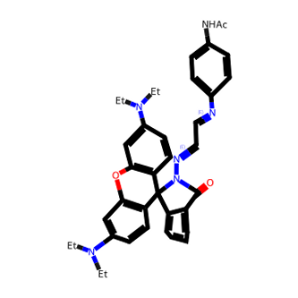 CCN(CC)c1ccc2c(c1)Oc1cc(N(CC)CC)ccc1C21c2ccccc2C(=O)N1/N=C/C=N/c1ccc(NC(C)=O)cc1